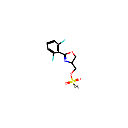 CS(=O)(=O)OCC1COC(c2c(F)cccc2F)=N1